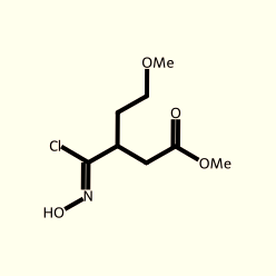 COCCC(CC(=O)OC)/C(Cl)=N/O